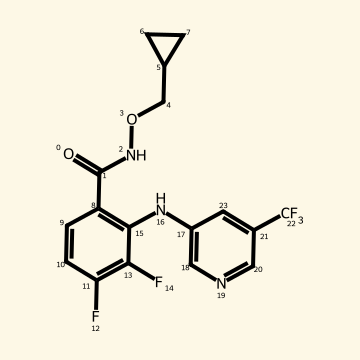 O=C(NOCC1CC1)c1ccc(F)c(F)c1Nc1cncc(C(F)(F)F)c1